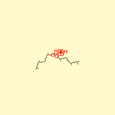 CC(C)CCC[C@@H](C)CCC[C@@H](C)CCC[C@@H](C)CCOC[C@@H](COP(=O)(O)O)OCC[C@H](C)CCC[C@H](C)CCC[C@H](C)CCCC(C)C